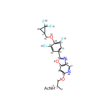 CC(=O)N[C@@H](C)COc1cc2oc(-c3cc(F)c(OCC4CC4(F)F)c(F)c3)nc2cn1